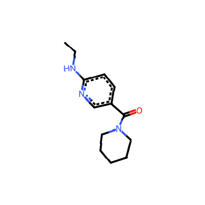 CCNc1ccc(C(=O)N2CCCCC2)cn1